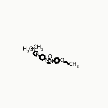 CCCCOc1ccc(-n2ccn(C3CCC(N4CCC(N(C)C)C4)CC3)c2=O)cc1